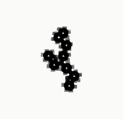 c1cc(-c2ccc(N(c3ccc(-c4cccc5c4sc4ccccc45)cc3)c3cccc4c3sc3ccccc34)cc2)cc(-c2cccc3ccccc23)c1